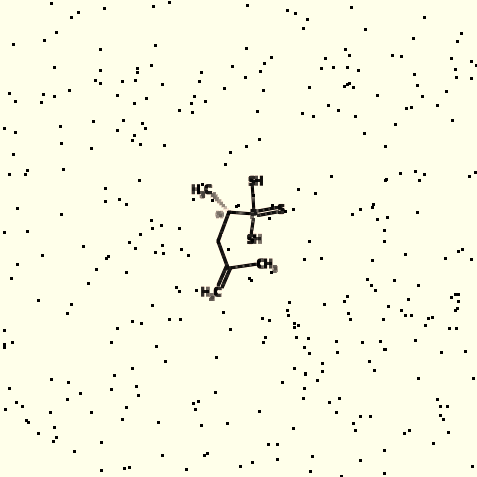 C=C(C)C[C@H](C)P(=S)(S)S